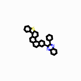 c1ccc(-c2nc3ccccc3nc2-c2ccc3c(ccc4ccc5c(ccc6sc7ccccc7c65)c43)c2)cc1